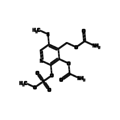 COS(=O)(=O)Oc1ncc(SC)c(COC(N)=O)c1OC(N)=O